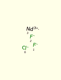 [Cl-].[F-].[F-].[Nd+3]